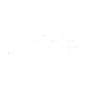 CC(C)(C)OC(=O)N1CCC(=C=CCCO)CC1